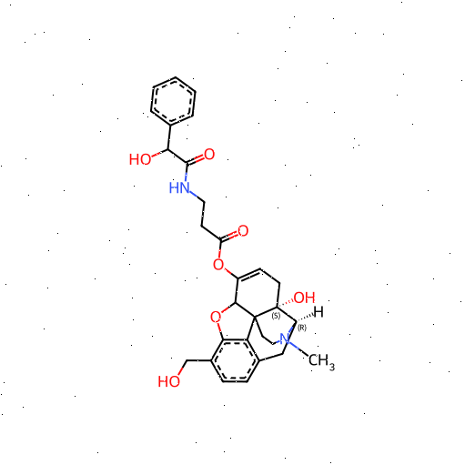 CN1CCC23c4c5ccc(CO)c4OC2C(OC(=O)CCNC(=O)C(O)c2ccccc2)=CC[C@@]3(O)[C@H]1C5